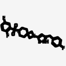 O=S(=O)(c1cc(F)ccc1F)N1CCC2(CC1)CN(C1=CN(Cc3ccc(F)cc3)NS1)C2